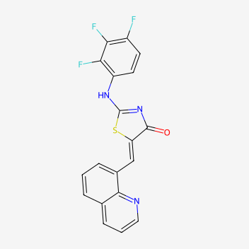 O=C1N=C(Nc2ccc(F)c(F)c2F)SC1=Cc1cccc2cccnc12